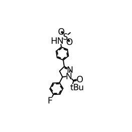 CC(C)(C)C(=O)N1N=C(c2ccc(NS(C)(=O)=O)cc2)CC1c1ccc(F)cc1